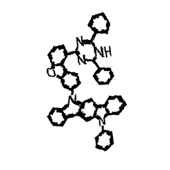 c1ccc(C2=NC(c3cccc4oc5cc(-n6c7ccccc7c7cc8c(cc76)c6ccccc6n8-c6ccccc6)ccc5c34)=NC(c3ccccc3)N2)cc1